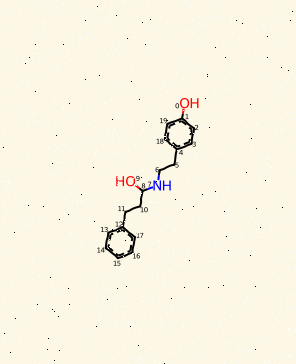 Oc1ccc(CCNC(O)CCc2ccccc2)cc1